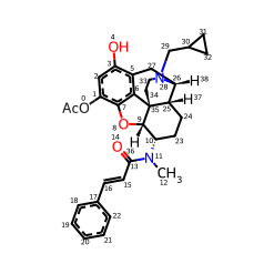 CC(=O)Oc1cc(O)c2c3c1O[C@H]1[C@@H](N(C)C(=O)C=Cc4ccccc4)CC[C@H]4[C@@H](C2)N(CC2CC2)CC[C@@]341